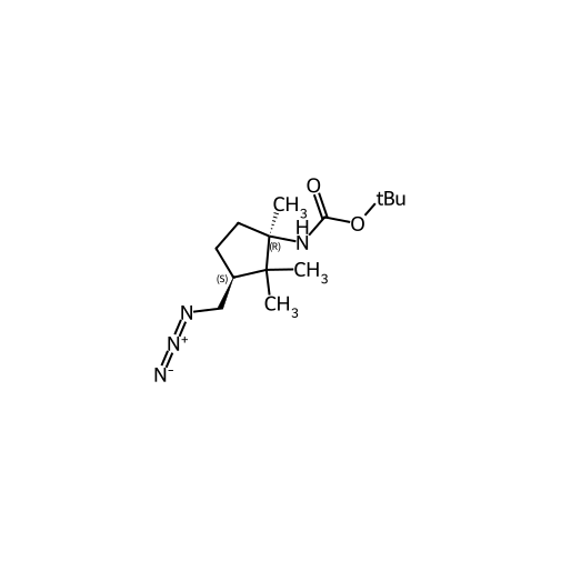 CC(C)(C)OC(=O)N[C@]1(C)CC[C@H](CN=[N+]=[N-])C1(C)C